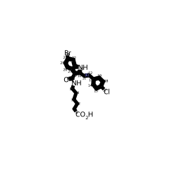 O=C(O)CCCCCNC(=O)c1c(/C=C/c2ccc(Cl)cc2)[nH]c2cc(Br)ccc12